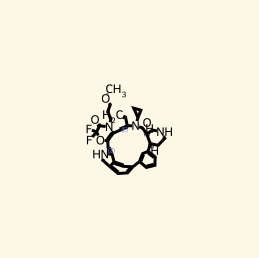 C=C/C1=C\C2=C(/C=C3\NCc4ccc(cc43)-c3cccc(c3)[C@H]3CCNC[C@@H]3C(=O)N1C1CC1)OC(F)(F)C(=O)N2CCCOC